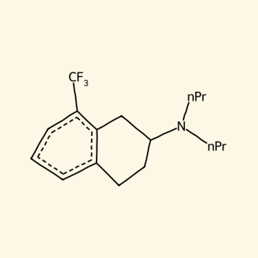 CCCN(CCC)C1CCc2cccc(C(F)(F)F)c2C1